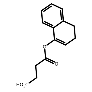 O=C(O)CCC(=O)OC1=CCCc2ccccc21